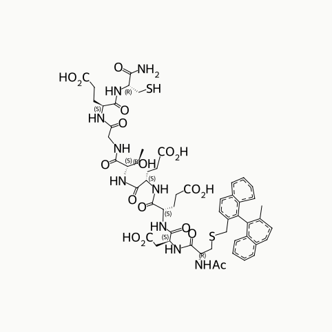 CC(=O)N[C@@H](CSCc1ccc2ccccc2c1-c1c(C)ccc2ccccc12)C(=O)N[C@@H](CC(=O)O)C(=O)N[C@@H](CCC(=O)O)C(=O)N[C@@H](CCC(=O)O)C(=O)N[C@H](C(=O)NCC(=O)N[C@@H](CCC(=O)O)C(=O)N[C@@H](CS)C(N)=O)[C@@H](C)O